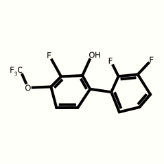 Oc1c(-c2cccc(F)c2F)ccc(OC(F)(F)F)c1F